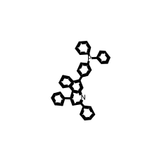 c1ccc(-c2cc(-c3ccccc3)c3c(cc(-c4ccc(P(c5ccccc5)c5ccccc5)cc4)c4ccccc43)n2)cc1